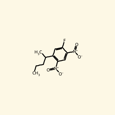 CCCC(C)c1cc(F)c([N+](=O)[O-])cc1[N+](=O)[O-]